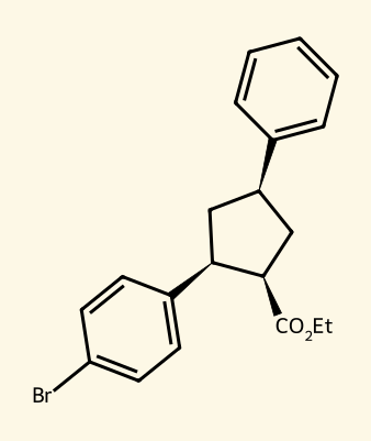 CCOC(=O)[C@@H]1C[C@H](c2ccccc2)C[C@@H]1c1ccc(Br)cc1